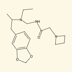 CCN(CNC(=O)CN1CCC1)C(C)Cc1ccc2c(c1)OCO2